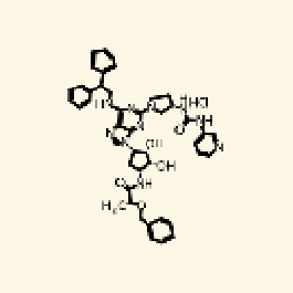 C[C@@H](OCc1ccccc1)C(=O)N[C@H]1C[C@@H](n2cnc3c(NCC(c4ccccc4)c4ccccc4)nc(N4CC[C@@H](NC(=O)Nc5cccnc5)C4)nc32)[C@H](O)[C@@H]1O.Cl